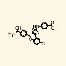 CC(C)c1ccc(COc2ccc(Cl)cc2-c2csc(Nc3ccc(C(=O)O)cc3)n2)cc1